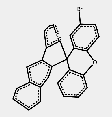 Brc1ccc2c(c1)C1(c3ccccc3O2)c2ccccc2-c2cc3ccccc3cc21